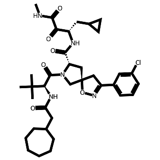 CNC(=O)C(=O)[C@H](CC1CC1)NC(=O)[C@@H]1C[C@]2(CC(c3cccc(Cl)c3)=NO2)CN1C(=O)[C@@H](NC(=O)CC1CCCCCC1)C(C)(C)C